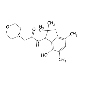 Cc1cc(C)c2c(c1O)C(NC(=O)CN1CCOCC1)C(C)(C)C2